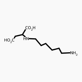 NCCCCCCNC(CC(=O)O)C(=O)O